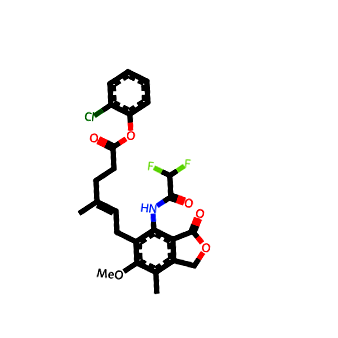 COc1c(C)c2c(c(NC(=O)C(F)F)c1C/C=C(\C)CCC(=O)Oc1ccccc1Cl)C(=O)OC2